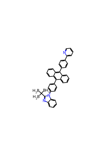 BC(B)(B)c1nc2ccccc2n1-c1ccc(-c2c3ccccc3c(-c3ccc(-c4ccccn4)cc3)c3ccccc23)cc1